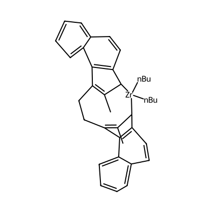 CCC[CH2][Zr]1([CH2]CCC)[CH]2C(C)=C(CCC3=C(C)[CH]1c1ccc4ccccc4c13)c1c2ccc2ccccc12